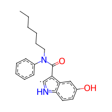 CCCCCCN(C(=O)c1[c][nH]c2ccc(O)cc12)c1ccccc1